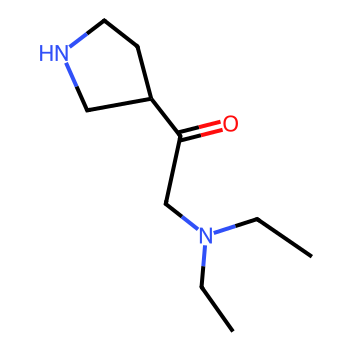 CCN(CC)CC(=O)C1CCNC1